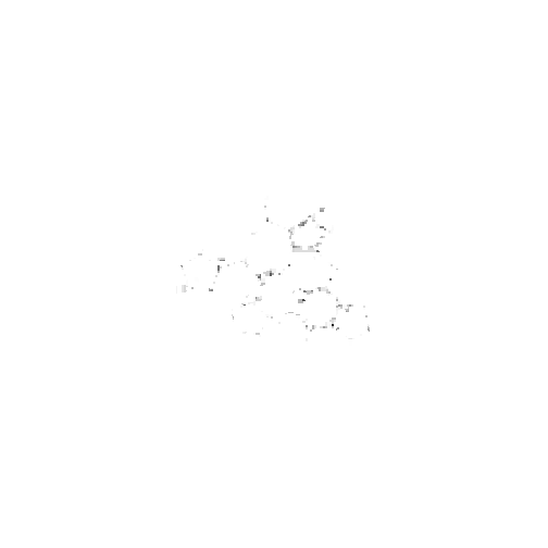 CC(C)c1cc(Nc2nc(N3CCC[C@@H]3C(=O)NC3CCNC3)nc3c2CCC3)n[nH]1